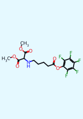 COC(=O)C(NCCCCC(=O)Oc1c(F)c(F)c(F)c(F)c1F)C(=O)OC